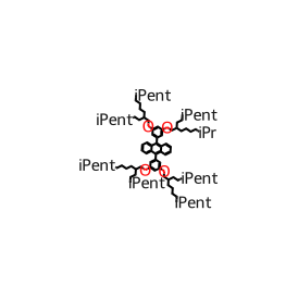 CCCC(C)CCCCC(CCC(C)CCC)COc1cc(OCC(CCCCC(C)C)CCC(C)CCC)cc(-c2c3ccccc3c(-c3cc(OCC(CCCCC(C)CCC)CCC(C)CCC)cc(OCC(CCCCC(C)CCC)CCC(C)CCC)c3)c3ccccc23)c1